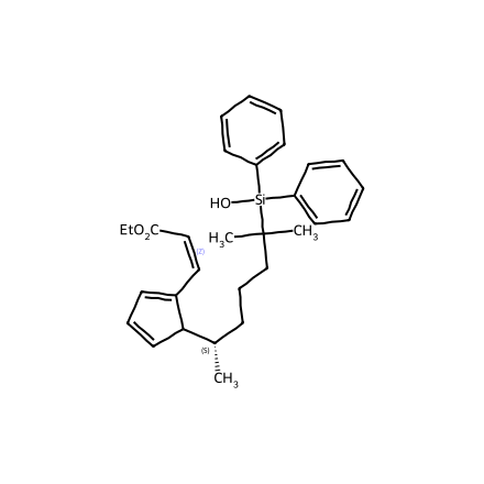 CCOC(=O)/C=C\C1=CC=CC1[C@@H](C)CCCC(C)(C)[Si](O)(c1ccccc1)c1ccccc1